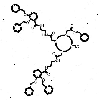 CCN1CCN(CC(=O)NCCNC(=O)c2cccc(OCc3ccccc3)c2OCc2ccccc2)CCN(CC(=O)NCCNC(=O)c2cccc(OCc3ccccc3)c2OCc2ccccc2)CCN(CC(=O)OCc2ccccc2)CC1